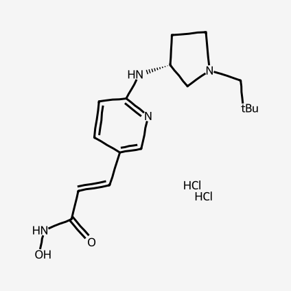 CC(C)(C)CN1CC[C@@H](Nc2ccc(C=CC(=O)NO)cn2)C1.Cl.Cl